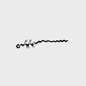 CCCCCCCCCCCCCCCCOC(=O)NC(=O)NCCN1CCCC1